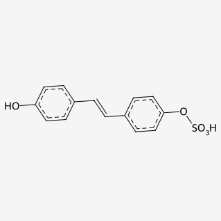 O=S(=O)(O)Oc1ccc(C=Cc2ccc(O)cc2)cc1